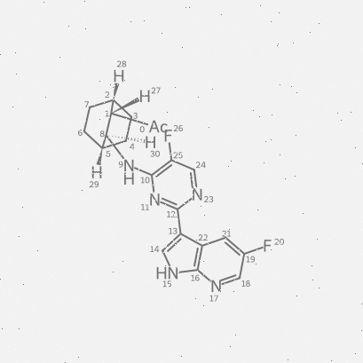 CC(=O)[C@H]1[C@H]2CC[C@H](CC2)[C@@H]1Nc1nc(-c2c[nH]c3ncc(F)cc23)ncc1F